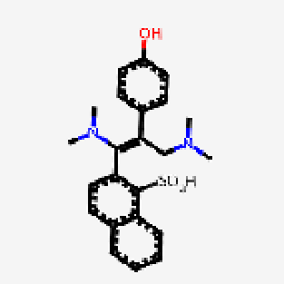 CN(C)CC(=C(c1ccc2ccccc2c1S(=O)(=O)O)N(C)C)c1ccc(O)cc1